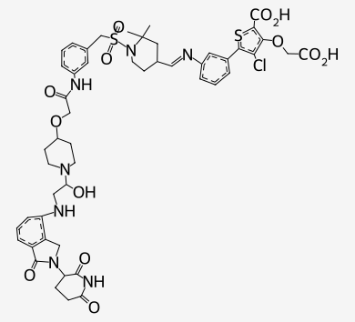 CC1(C)CC(/C=N/c2cccc(-c3sc(C(=O)O)c(OCC(=O)O)c3Cl)c2)CCN1S(=O)(=O)Cc1cccc(NC(=O)COC2CCN(C(O)CNc3cccc4c3CN(C3CCC(=O)NC3=O)C4=O)CC2)c1